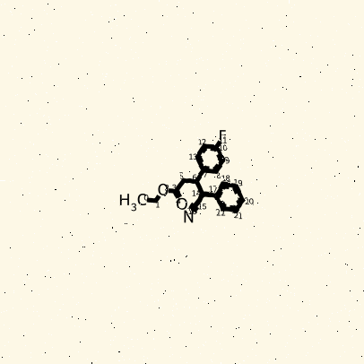 CCOC(=O)CC(c1ccc(F)cc1)C(C#N)c1ccccc1